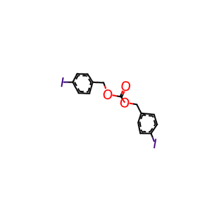 O=C(OCc1ccc(I)cc1)OCc1ccc(I)cc1